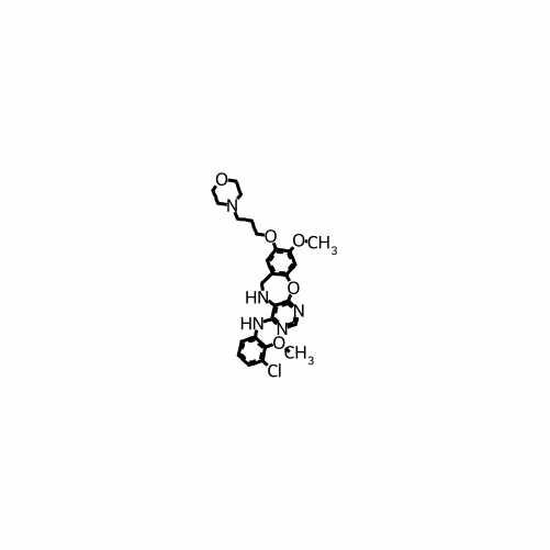 COc1cc2c(cc1OCCCN1CCOCC1)CNc1c(Nc3cccc(Cl)c3OC)ncnc1O2